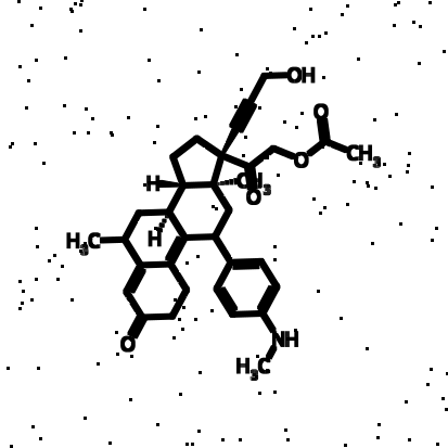 CNc1ccc(C2C[C@@]3(C)[C@@H](CC[C@]3(C#CCO)C(=O)COC(C)=O)[C@@H]3CC(C)C4=CC(=O)CCC4=C23)cc1